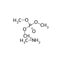 CN.COP(=O)(OC)OC